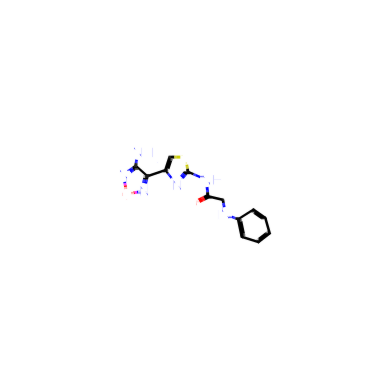 Nc1nonc1-c1csc(NC(=O)CNc2ccccc2)n1